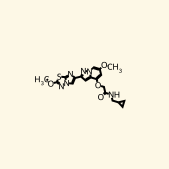 COc1cc(OCC(=O)NCC2CC2)c2cc(-c3cn4nc(OC)sc4n3)nn2c1